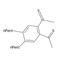 CCCCCc1cc(C(C)=S)c(C(C)=S)cc1CCCCC